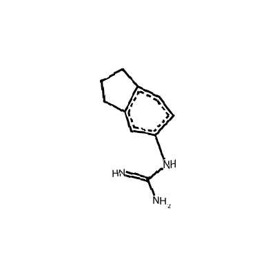 N=C(N)Nc1ccc2c(c1)CCC2